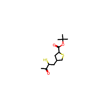 CC(=O)C(S)CC1CSC(C(=O)OC(C)(C)C)C1